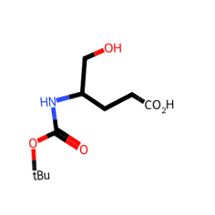 CC(C)(C)OC(=O)NC(CO)CCC(=O)O